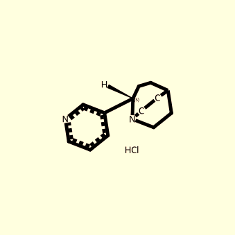 Cl.c1cncc([C@@H]2CCC3CCN2CC3)c1